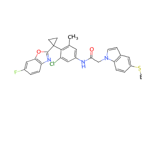 CCSc1ccc2c(ccn2CC(=O)Nc2cc(C)c(C3(c4nc5ccc(F)cc5o4)CC3)c(Cl)c2)c1